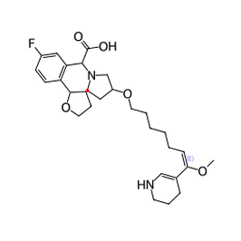 CO/C(=C/CCCCCOC1CCN(C(C(=O)O)c2cc(F)ccc2C2CCCO2)C1)C1=CNCCC1